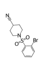 N#CC1CCN(S(=O)(=O)c2ccccc2Br)CC1